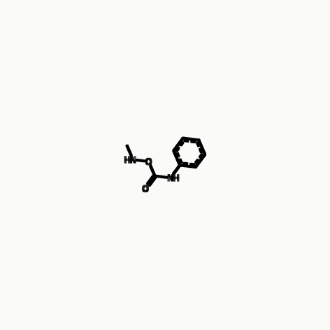 CNOC(=O)Nc1ccccc1